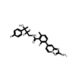 Cc1ccc(-c2ccn3nc(N)nc3c2)c(F)c1C(=O)NCC(F)(F)C(C)(O)c1ccc(F)cc1